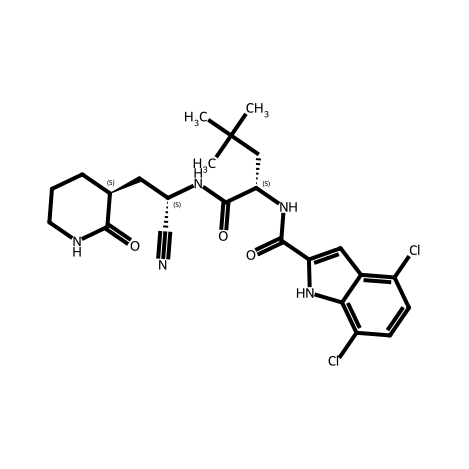 CC(C)(C)C[C@H](NC(=O)c1cc2c(Cl)ccc(Cl)c2[nH]1)C(=O)N[C@H](C#N)C[C@@H]1CCCNC1=O